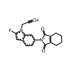 C#CCn1c(F)cc2ccc([N+]3C(=O)C4=C(CCCC4)C3=O)cc21